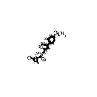 COc1ccc(-c2cc(CNC(=O)c3ccc(Cl)s3)on2)cc1